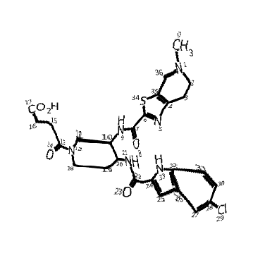 CN1CCc2nc(C(=O)NC3CN(C(=O)CCC(=O)O)CCC3NC(=O)c3cc4cc(Cl)ccc4[nH]3)sc2C1